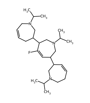 CC(C)N1CCC=CC(C2C=C(F)C(C3CC=CCN(C(C)C)C3)CN(C(C)C)C2)C1